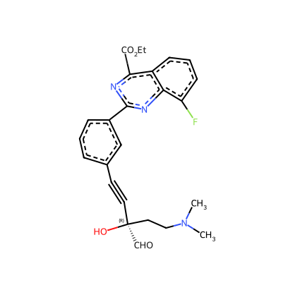 CCOC(=O)c1nc(-c2cccc(C#C[C@@](O)(C=O)CCN(C)C)c2)nc2c(F)cccc12